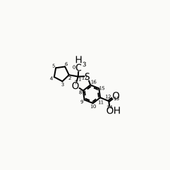 CC1(C2CCCC2)Oc2ccc(C(=O)O)cc2S1